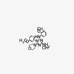 COc1cccc(N2C(N3CCOCC3)=NC(N)=NC2Nc2ccccc2OC)c1.Cl